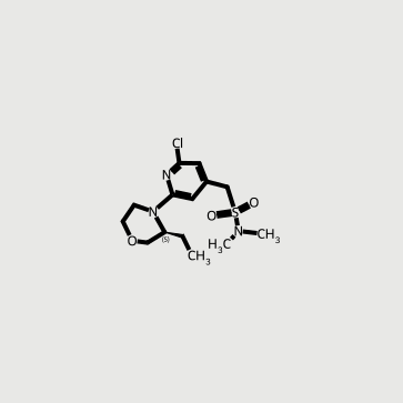 CC[C@H]1COCCN1c1cc(CS(=O)(=O)N(C)C)cc(Cl)n1